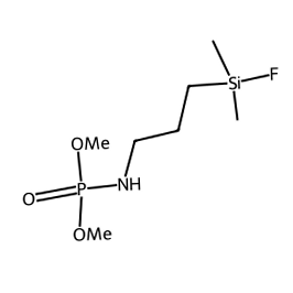 COP(=O)(NCCC[Si](C)(C)F)OC